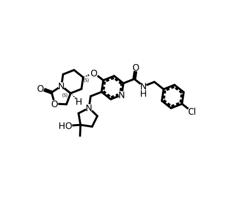 CC1(O)CCN(Cc2cnc(C(=O)NCc3ccc(Cl)cc3)cc2O[C@H]2CCN3C(=O)OC[C@@H]3C2)C1